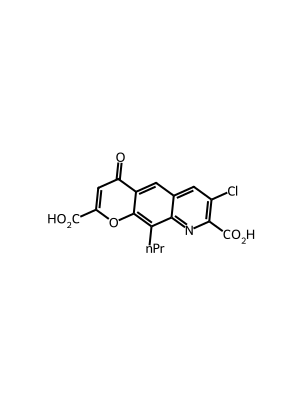 CCCc1c2nc(C(=O)O)c(Cl)cc2cc2c(=O)cc(C(=O)O)oc12